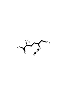 [N-]=[N+]=NC(CN)CC[C@H](N)C(=O)O